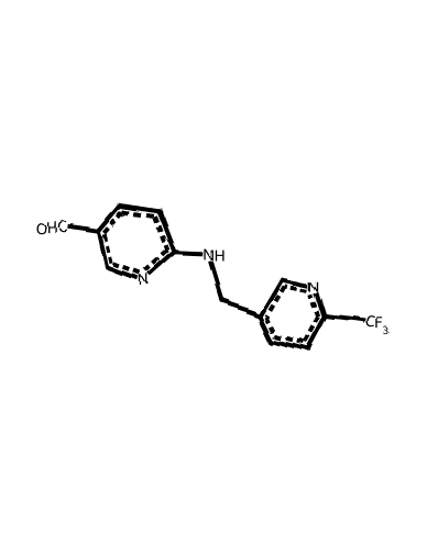 O=Cc1ccc(NCc2ccc(C(F)(F)F)nc2)nc1